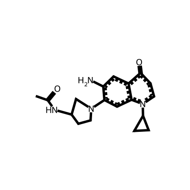 CC(=O)NC1CCN(c2cc3c(cc2N)c(=O)ccn3C2CC2)C1